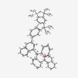 CC1(C)CC(C)(C)c2cc3c(cc21)-c1ccc(-c2cc(N(c4ccccc4)c4ccccc4-c4cccc5ccccc45)c4ccccc4c2)cc1C3(C)C